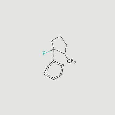 FC(F)(F)C1CCCC1(F)c1ccccc1